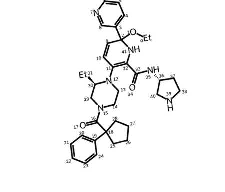 CCOC1(c2cccnc2)C=CC(N2CCN(C(=O)C3(c4ccccc4)CCCC3)C[C@H]2CC)=C(C(=O)N[C@@H]2CCNC2)N1